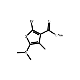 COC(=O)c1c(Br)sc(N(C)C)c1C